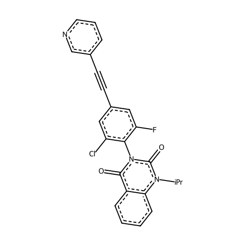 CC(C)n1c(=O)n(-c2c(F)cc(C#Cc3cccnc3)cc2Cl)c(=O)c2ccccc21